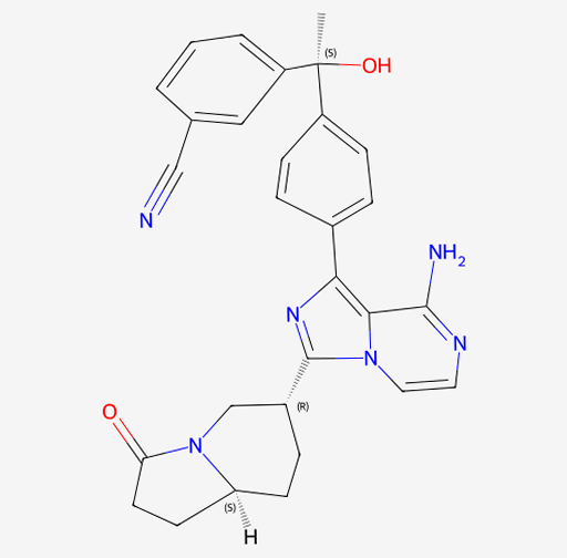 C[C@](O)(c1ccc(-c2nc([C@@H]3CC[C@H]4CCC(=O)N4C3)n3ccnc(N)c23)cc1)c1cccc(C#N)c1